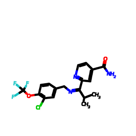 CC(C)C(=NCc1ccc(OC(F)(F)F)c(Cl)c1)c1cc(C(N)=O)ccn1